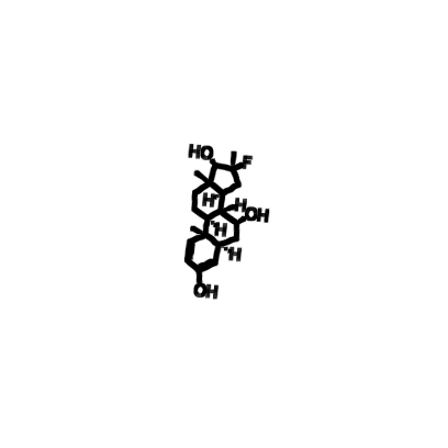 C[C@]12C=CC(O)=C[C@@H]1C[C@H](O)[C@@H]1[C@@H]2CC[C@]2(C)[C@@H](O)[C@](C)(F)C[C@@H]12